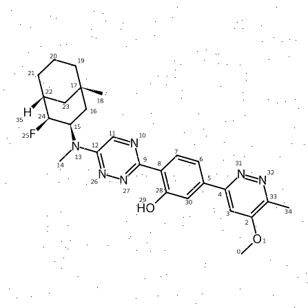 COc1cc(-c2ccc(-c3ncc(N(C)[C@@H]4C[C@@]5(C)CCC[C@H](C5)[C@@H]4F)nn3)c(O)c2)nnc1C